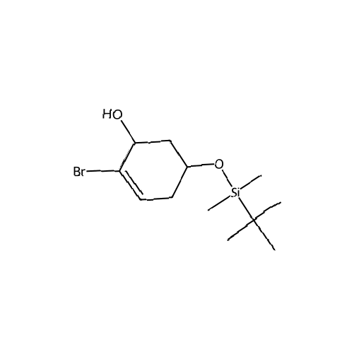 CC(C)(C)[Si](C)(C)OC1CC=C(Br)C(O)C1